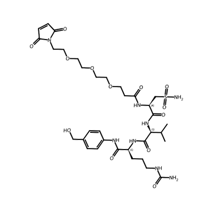 CC(C)[C@H](NC(=O)[C@H](CS(N)(=O)=O)NC(=O)CCOCCOCCOCCN1C(=O)C=CC1=O)C(=O)N[C@@H](CCCNC(N)=O)C(=O)Nc1ccc(CO)cc1